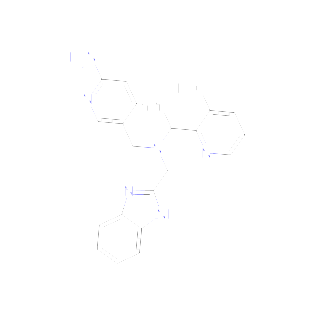 CCCC(c1ncccc1C)N(Cc1ccc(N)nc1)Cc1nc2ccccc2[nH]1